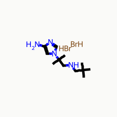 Br.Br.CC(C)(C)CNCC(C)(C)n1cnc(N)c1